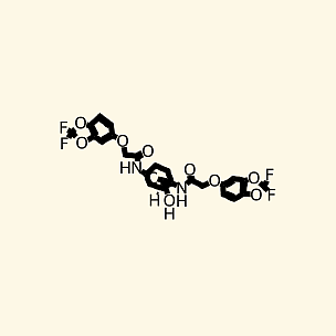 O=C(COc1ccc2c(c1)OC(F)(F)O2)NC12CCC(NC(=O)COc3ccc4c(c3)OC(F)(F)O4)(CC1)[C@@H](O)C2